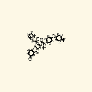 O=C(Nc1ccc(Oc2ccc(F)cc2)cc1)[C@@H]1C[C@@H](Cc2cccc(Cl)c2)CN1C(=O)Cn1nccn1